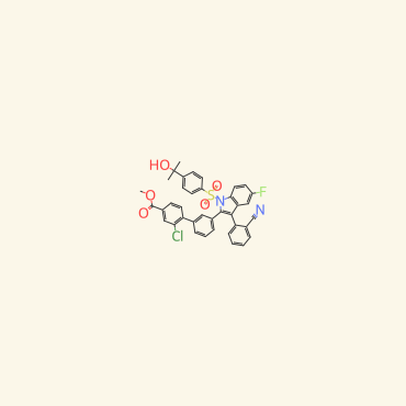 COC(=O)c1ccc(-c2cccc(-c3c(-c4ccccc4C#N)c4cc(F)ccc4n3S(=O)(=O)c3ccc(C(C)(C)O)cc3)c2)c(Cl)c1